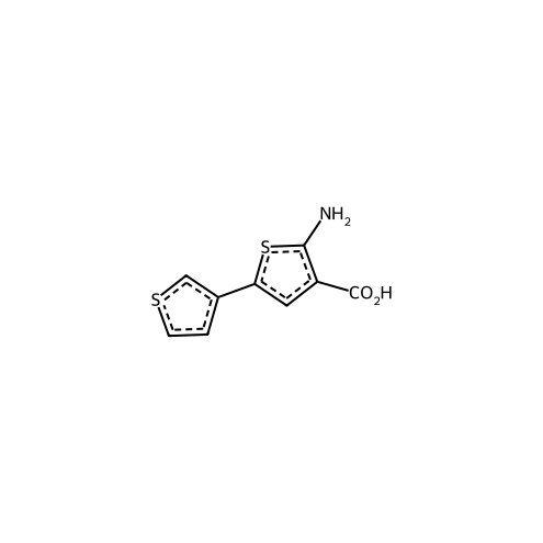 Nc1sc(-c2ccsc2)cc1C(=O)O